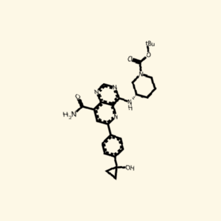 CC(C)(C)OC(=O)N1CCC[C@H](Nc2ncnc3c(C(N)=O)cc(-c4ccc(C5(O)CC5)cc4)nc23)C1